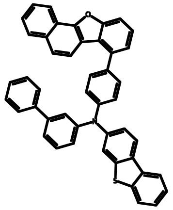 c1ccc(-c2cccc(N(c3ccc(-c4cccc5oc6c7ccccc7ccc6c45)cc3)c3ccc4c(c3)sc3ccccc34)c2)cc1